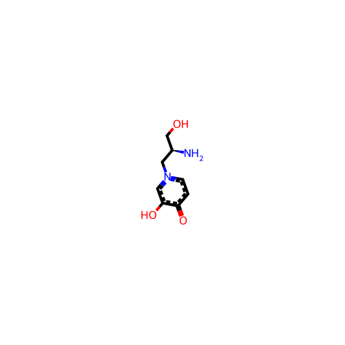 N[C@H](CO)Cn1ccc(=O)c(O)c1